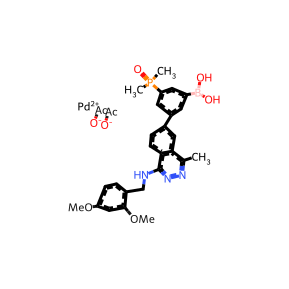 CC(=O)[O-].CC(=O)[O-].COc1ccc(CNc2nnc(C)c3cc(-c4cc(B(O)O)cc(P(C)(C)=O)c4)ccc23)c(OC)c1.[Pd+2]